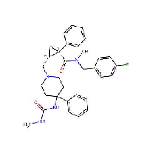 CNC(=O)NC1(c2ccccc2)CCN(C[C@@H]2C[C@@]2(C(=O)N(C)Cc2ccc(F)cc2)c2ccccc2)CC1